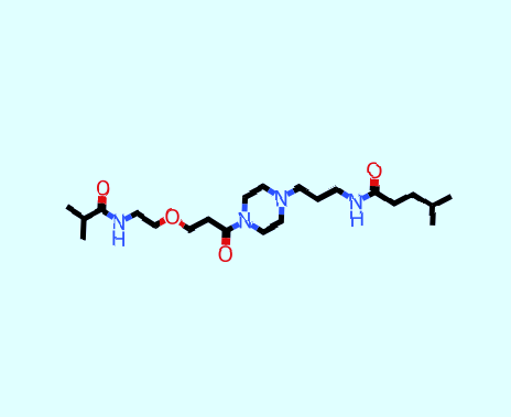 CC(C)CCC(=O)NCCCN1CCN(C(=O)CCOCCNC(=O)C(C)C)CC1